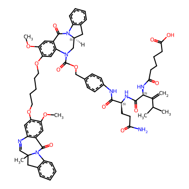 C=C(C(C)C)[C@H](NC(=O)CCCCC(=O)O)C(=O)N[C@@H](CCC(N)=O)C(=O)Nc1ccc(COC(=O)N2C[C@@H]3Cc4ccccc4N3C(=O)c3cc(OC)c(OCCCCCOc4cc5c(cc4OC)C(=O)N4c6ccccc6CC4(C)C=N5)cc32)cc1